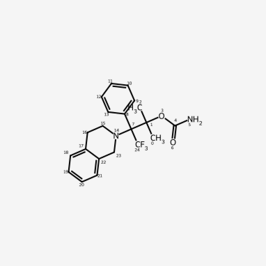 CC(C)(OC(N)=O)C(c1ccccc1)(N1CCc2ccccc2C1)C(F)(F)F